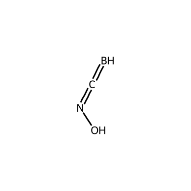 B=C=NO